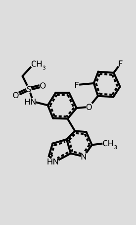 CCS(=O)(=O)Nc1ccc(Oc2ccc(F)cc2F)c(-c2cc(C)nc3[nH]ccc23)c1